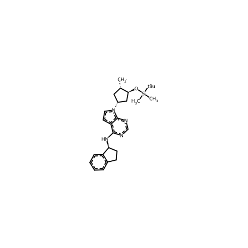 [CH2][C@H]1C[C@@H](n2ccc3c(N[C@H]4CCc5ccccc54)ncnc32)C[C@@H]1O[Si](C)(C)C(C)(C)C